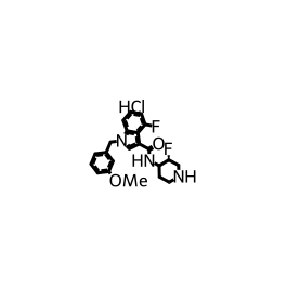 COc1cccc(Cn2cc(C(=O)NC3CCNC[C@@H]3F)c3c(F)cccc32)c1.Cl